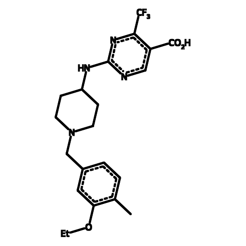 CCOc1cc(CN2CCC(Nc3ncc(C(=O)O)c(C(F)(F)F)n3)CC2)ccc1C